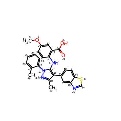 COc1ccc(Nc2c(-c3ccc4scnc4c3)c(C)nn2-c2ccccc2C)c(C(=O)O)c1